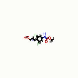 CC(C)OC(=O)Nc1cc(F)c(/C=C/CO)c(F)c1